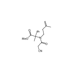 C=C(C)CCN(C(=O)CC#N)C(C)(C(=O)OC)C(C)C